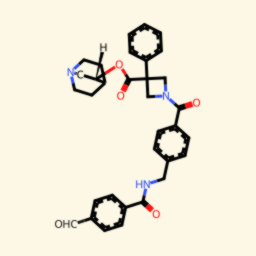 O=Cc1ccc(C(=O)NCc2ccc(C(=O)N3CC(C(=O)O[C@H]4CN5CCC4CC5)(c4ccccc4)C3)cc2)cc1